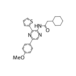 COc1ccc(-c2cnc(NC(=O)CC3CCCCC3)c(-c3cccs3)n2)cc1